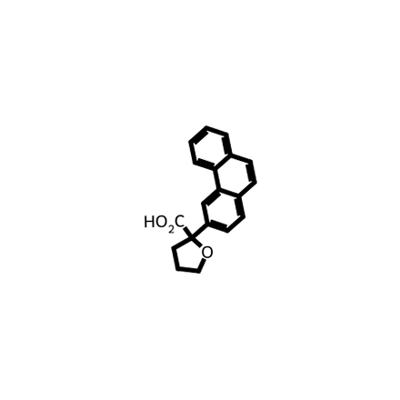 O=C(O)C1(c2ccc3ccc4ccccc4c3c2)CCCO1